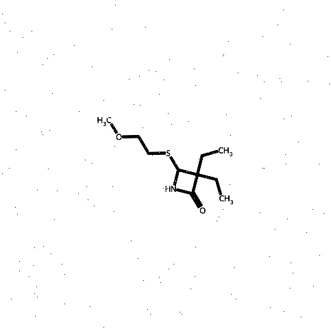 CCC1(CC)C(=O)NC1SCCOC